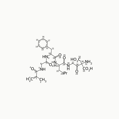 C=C(C)C(=O)NCC(=O)NC(Cc1ccccc1)C(=O)NC(CC(C)C)C(=O)NCC(=O)C(N)(C(=O)O)C(=O)O